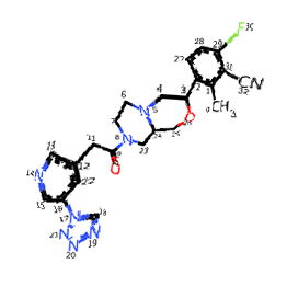 Cc1c(C2CN3CCN(C(=O)Cc4cncc(-n5cnnn5)c4)CC3CO2)ccc(F)c1C#N